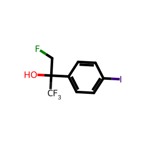 OC(CF)(c1ccc(I)cc1)C(F)(F)F